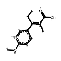 CC/C(=C(/C)C(=O)O)c1ccc(OC)nc1